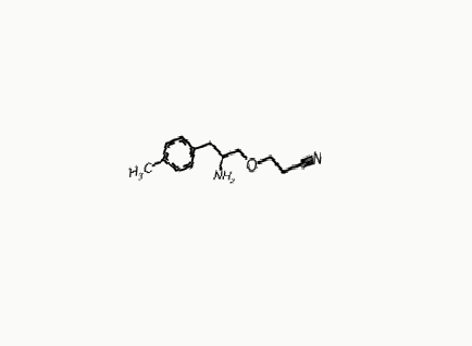 Cc1ccc(C[C@H](N)COCCC#N)cc1